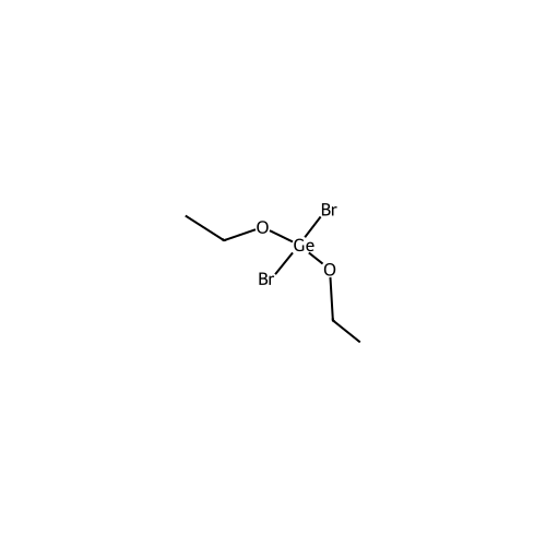 CC[O][Ge]([Br])([Br])[O]CC